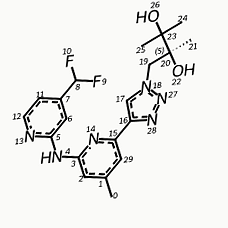 Cc1cc(Nc2cc(C(F)F)ccn2)nc(-c2cn(C[C@](C)(O)C(C)(C)O)nn2)c1